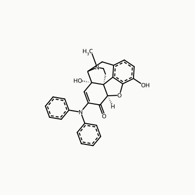 CN1CC[C@]23c4c5ccc(O)c4O[C@H]2C(=O)C(N(c2ccccc2)c2ccccc2)=C[C@@]3(O)C1C5